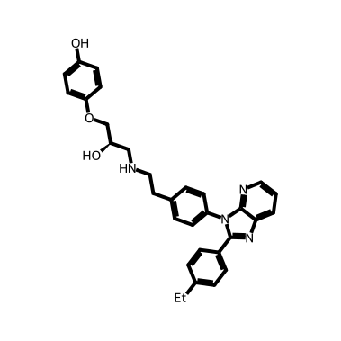 CCc1ccc(-c2nc3cccnc3n2-c2ccc(CCNC[C@@H](O)COc3ccc(O)cc3)cc2)cc1